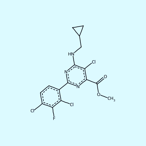 COC(=O)c1nc(-c2ccc(Cl)c(F)c2Cl)nc(NCC2CC2)c1Cl